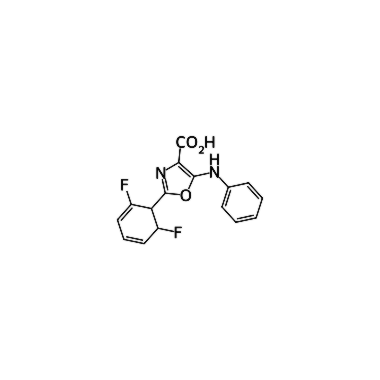 O=C(O)c1nc(C2C(F)=CC=CC2F)oc1Nc1ccccc1